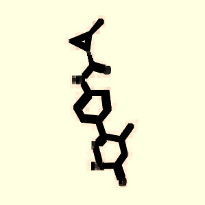 CC1CC(=O)NN=C1c1ccc(NC(=O)[C@@H]2C[C@H]2C)cc1